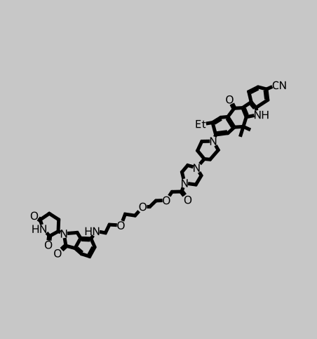 CCc1cc2c(cc1N1CCC(N3CCN(C(=O)COCCOCCOCCNc4cccc5c4CN(C4CCC(=O)NC4=O)C5=O)CC3)CC1)C(C)(C)c1[nH]c3cc(C#N)ccc3c1C2=O